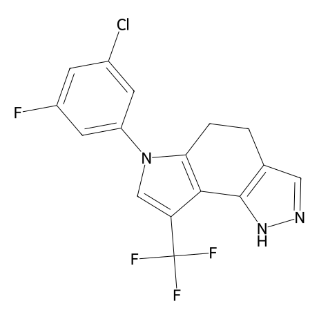 Fc1cc(Cl)cc(-n2cc(C(F)(F)F)c3c2CCc2cn[nH]c2-3)c1